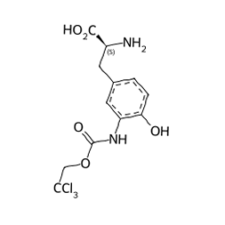 N[C@@H](Cc1ccc(O)c(NC(=O)OCC(Cl)(Cl)Cl)c1)C(=O)O